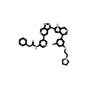 O=C(Cc1ccccc1)Nc1cncc(-c2cc3c(-c4cc5c(-c6cc(F)cc(OCCN7CCCC7)c6)cncc5[nH]4)n[nH]c3cn2)c1